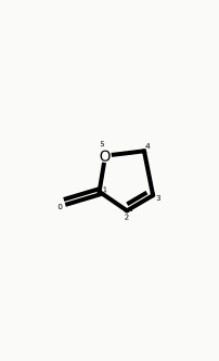 C=C1[C]=CCO1